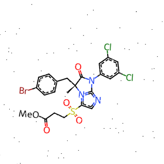 COC(=O)CCS(=O)(=O)c1cnc2n1[C@](C)(Cc1ccc(Br)cc1)C(=O)N2c1cc(Cl)cc(Cl)c1